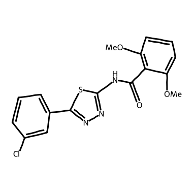 COc1cccc(OC)c1C(=O)Nc1nnc(-c2cccc(Cl)c2)s1